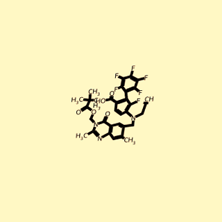 C#CCN(Cc1cc2c(=O)n(COC(=O)C(C)(C)C)c(C)nc2cc1C)c1ccc(C(=O)O)c(-c2c(F)c(F)c(F)c(F)c2F)c1F